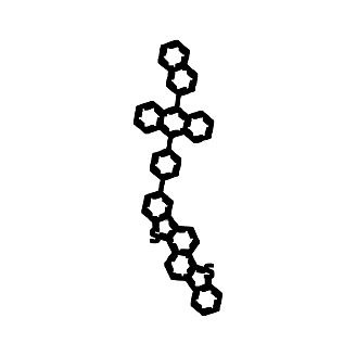 c1ccc2cc(-c3c4ccccc4c(-c4ccc(-c5ccc6sc7c(ccc8c7ccc7c9ccccc9sc78)c6c5)cc4)c4ccccc34)ccc2c1